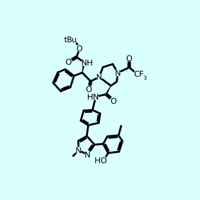 Cc1ccc(O)c(-c2nn(C)cc2-c2ccc(NC(=O)[C@@H]3CN(C(=O)C(F)(F)F)CCN3C(=O)[C@H](NC(=O)OC(C)(C)C)c3ccccc3)cc2)c1